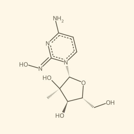 C[C@@]1(O)[C@H](O)[C@@H](CO)O[C@H]1n1ccc(N)n/c1=N\O